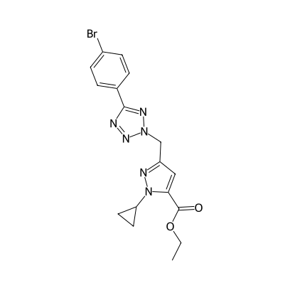 CCOC(=O)c1cc(Cn2nnc(-c3ccc(Br)cc3)n2)nn1C1CC1